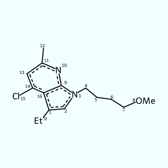 CCc1cn(CCCCOC)c2nc(C)cc(Cl)c12